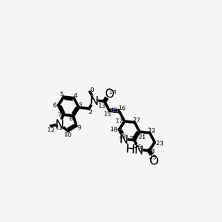 CN(Cc1cccc2c1ccn2C)C(=O)/C=C/C1C=NC2=C(CCC(=O)N2)C1